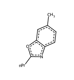 CCCc1nc2ccc(C)cc2o1